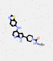 CCCCNC(=O)N1CC=C(c2cc3c(Nc4ccc5ncsc5c4)ccnc3[nH]2)CC1